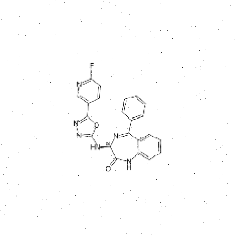 O=C1Nc2ccccc2C(c2ccccc2)=N[C@@H]1Nc1nnc(-c2ccc(F)nc2)o1